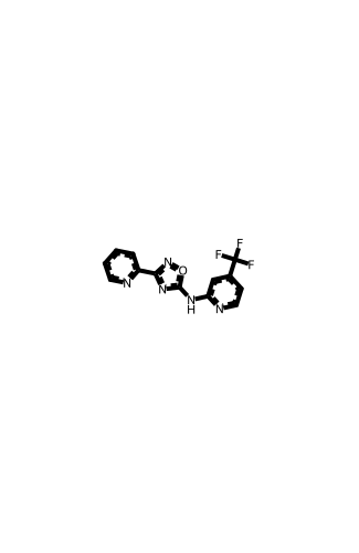 FC(F)(F)c1ccnc(Nc2nc(-c3ccccn3)no2)c1